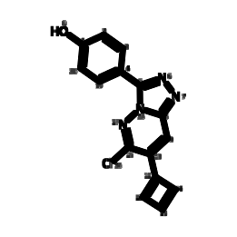 Oc1ccc(-c2nnc3cc(C4=CC=C4)c(Cl)nn23)cc1